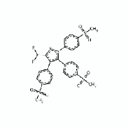 CS(=O)(=O)c1ccc(-c2c(C(F)F)nn(-c3ccc(S(C)(=O)=O)cc3)c2-c2ccc(S(C)(=O)=O)cc2)cc1